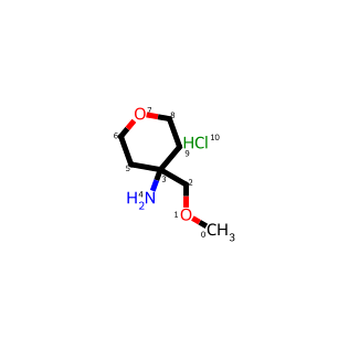 COCC1(N)CCOCC1.Cl